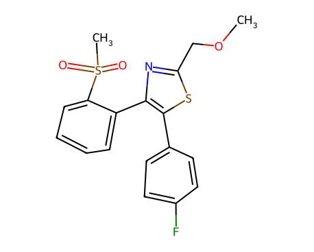 COCc1nc(-c2ccccc2S(C)(=O)=O)c(-c2ccc(F)cc2)s1